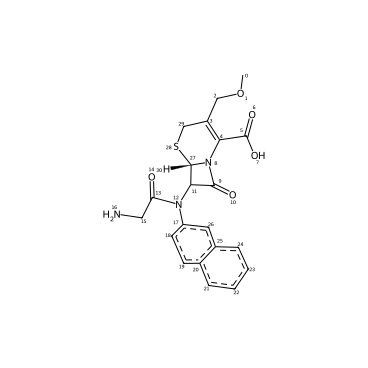 COCC1=C(C(=O)O)N2C(=O)C(N(C(=O)CN)c3ccc4ccccc4c3)[C@@H]2SC1